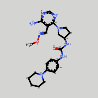 CO/N=C/c1c(N)ncnc1N1CCC(NC(=O)Nc2ccc(N3CCCCC3)cc2)C1